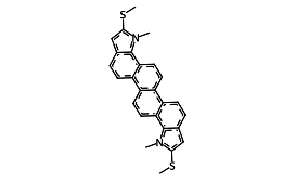 CSc1cc2ccc3c4ccc5c(ccc6cc(SC)n(C)c65)c4ccc3c2n1C